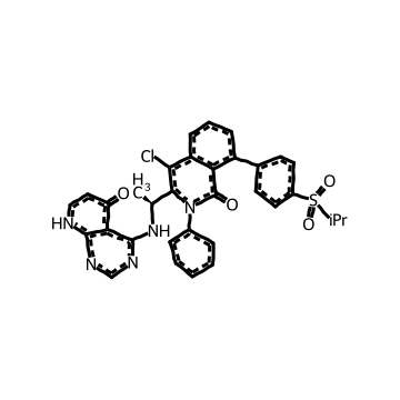 CC(C)S(=O)(=O)c1ccc(-c2cccc3c(Cl)c([C@H](C)Nc4ncnc5[nH]ccc(=O)c45)n(-c4ccccc4)c(=O)c23)cc1